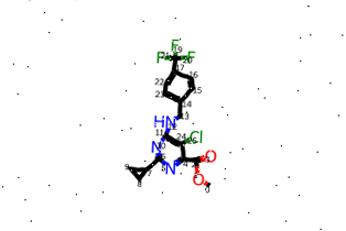 COC(=O)c1nc(C2CC2)nc(NCc2ccc(C(F)(F)F)cc2)c1Cl